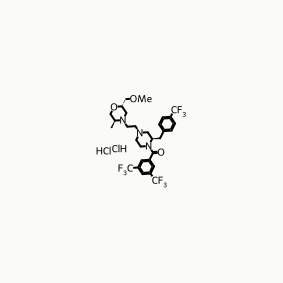 COC[C@@H]1CN(CCN2CCN(C(=O)c3cc(C(F)(F)F)cc(C(F)(F)F)c3)[C@H](Cc3ccc(C(F)(F)F)cc3)C2)[C@@H](C)CO1.Cl.Cl